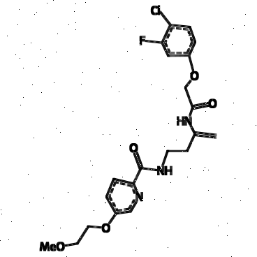 C=C(CCNC(=O)c1ccc(OCCOC)cn1)NC(=O)COc1ccc(Cl)c(F)c1